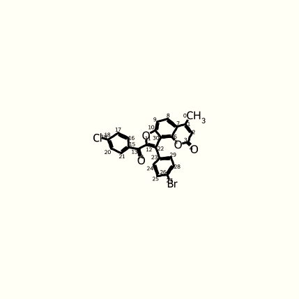 Cc1cc(=O)oc2c1ccc1oc(C(=O)c3ccc(Cl)cc3)c(-c3ccc(Br)cc3)c12